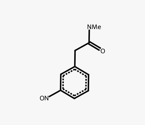 CNC(=O)Cc1cccc(N=O)c1